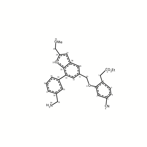 CCOC(=O)Cc1ccc(C#N)cc1OCc1cc(-c2cccc(CN)c2)c2oc(COC)cc2c1